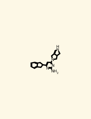 Nc1nc(C2Cc3ccccc3C2)cc(N2CC3=CNCC3C2)n1